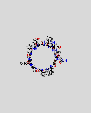 CCCC[C@H]1C(=O)N2CCC[C@@H]2C(=O)N[C@@H](COC=O)C(=O)N[C@@H](C)C(=O)N(C)[C@@H](Cc2ccccc2)C(=O)N[C@@H](Cc2ccc(O)cc2)C(=O)N(C)CC(=O)N[C@@H](Cc2c[nH]c3ccccc23)C(=O)N[C@@H](Cc2ccc(O)cc2)C(=O)N[C@@H](CC(C)C)C(=O)N[C@H](C(=O)NCC(N)=O)CSCC(=O)N[C@@H](Cc2ccccc2)C(=O)N(C)[C@@H](Cc2ccccc2)C(=O)N1C